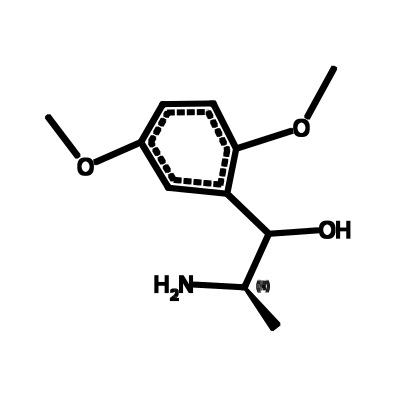 COc1ccc(OC)c(C(O)[C@@H](C)N)c1